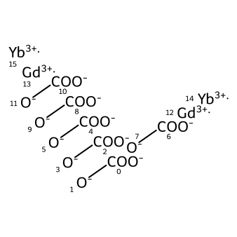 O=C([O-])[O-].O=C([O-])[O-].O=C([O-])[O-].O=C([O-])[O-].O=C([O-])[O-].O=C([O-])[O-].[Gd+3].[Gd+3].[Yb+3].[Yb+3]